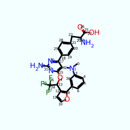 CN(C)c1cccc(-c2occc2C(Oc2cc(-c3ccc(C[C@H](N)C(=O)O)cc3)nc(N)n2)C(F)(F)F)c1